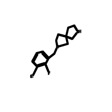 Fc1c(Cl)cccc1CN1CCC2(CCNC2)C1